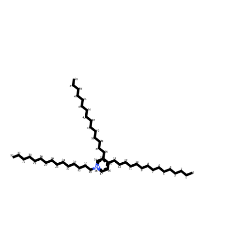 CCCCCCCCCCCCCCCc1cc[n+](CCCCCCCCCCCCCCC)cc1CCCCCCCCCCCCCCC